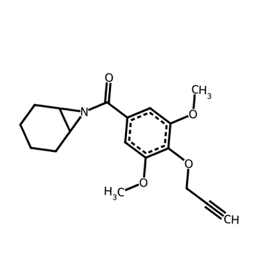 C#CCOc1c(OC)cc(C(=O)N2C3CCCCC32)cc1OC